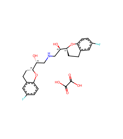 O=C(O)C(=O)O.O[C@H](CNC[C@@H](O)[C@H]1CCc2cc(F)ccc2O1)[C@@H]1CCc2cc(F)ccc2O1